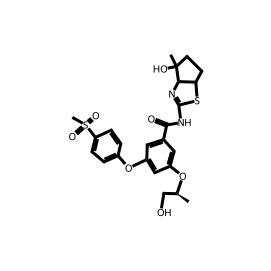 C[C@@H](CO)Oc1cc(Oc2ccc(S(C)(=O)=O)cc2)cc(C(=O)NC2=NC3C(CCC3(C)O)S2)c1